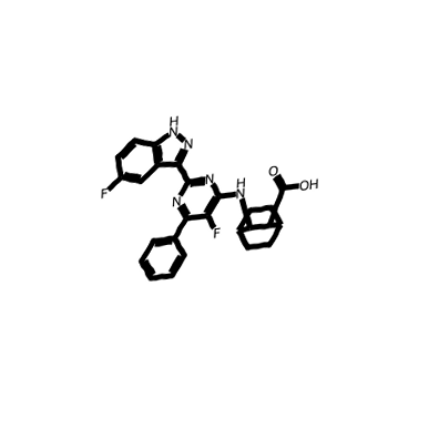 O=C(O)C1C2CCC(CC2)C1Nc1nc(-c2n[nH]c3ccc(F)cc23)nc(-c2ccccc2)c1F